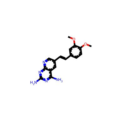 COc1ccc(C=Cc2cnc3nc(N)nc(N)c3c2)cc1OC